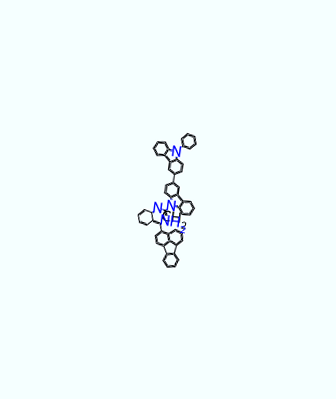 C=C(/N=C1/C=CC=C/C1=C(/N)c1ccc2c3c(cccc13)-c1ccccc1-2)n1c2ccccc2c2cc(-c3ccc4c(c3)c3ccccc3n4-c3ccccc3)ccc21